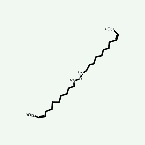 CCCCCCCC/C=C\CCCCCCCCNONCCCCCCCC/C=C\CCCCCCCC